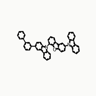 c1ccc(-c2cccc(-c3ccc4c(c3)c3ccccc3n4-c3cccc4c3oc3ccc(-n5c6ccccc6c6ccccc65)cc34)c2)cc1